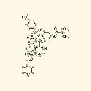 Cc1ccc(S(=O)(=O)N(c2ccc(OC(=O)N(C)C)cc2)[C@@](C)(C(=O)OC(C)(C)C)C(=O)C2CN(C(=O)OCc3ccccc3)CCN2)cc1